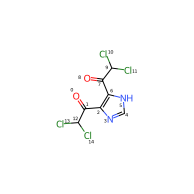 O=C(c1nc[nH]c1C(=O)C(Cl)Cl)C(Cl)Cl